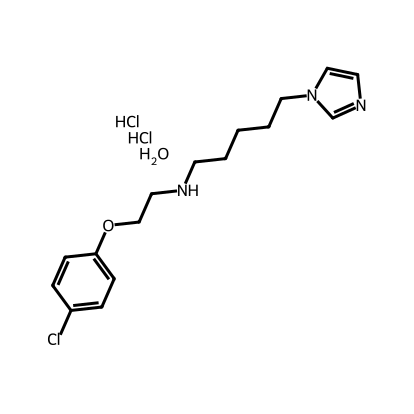 Cl.Cl.Clc1ccc(OCCNCCCCCn2ccnc2)cc1.O